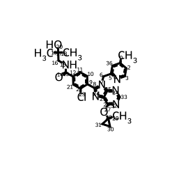 Cc1ccnc(Cn2c(-c3ccc(C(=O)NCC(C)(C)O)cc3Cl)nc3c(OC4(C)CC4)ncnc32)c1